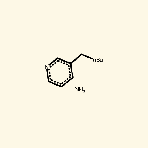 CCCCCc1cccnc1.N